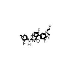 COc1nc(N[C@H]2CCN(C)C[C@H]2F)nn2cc(F)c(-c3cc(F)c4ncn(CCF)c4c3)c12